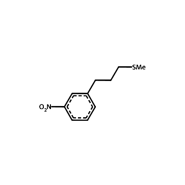 CSCCCc1cccc([N+](=O)[O-])c1